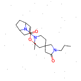 CCCN1CC2(CCN(C3=CC4CCC(C3)N4C(=O)OCC)CC2)CC1=O